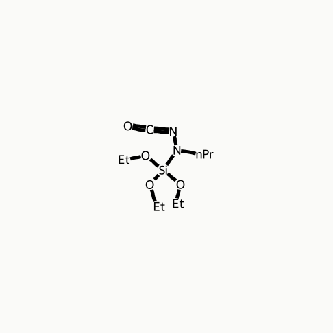 CCCN(N=C=O)[Si](OCC)(OCC)OCC